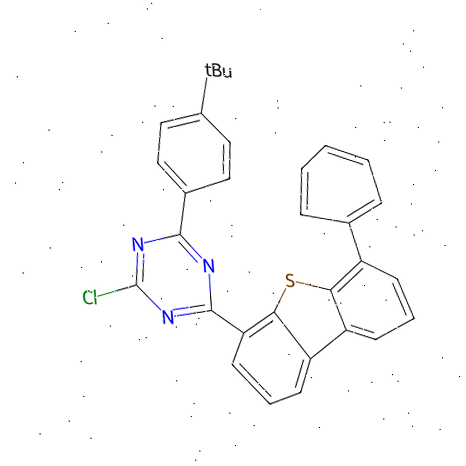 CC(C)(C)c1ccc(-c2nc(Cl)nc(-c3cccc4c3sc3c(-c5ccccc5)cccc34)n2)cc1